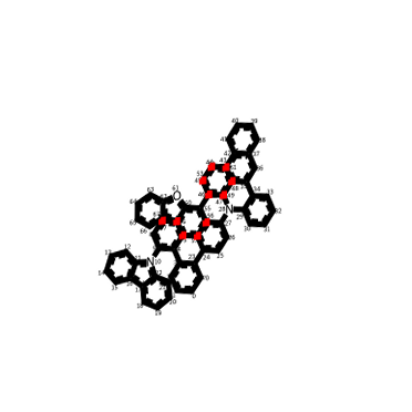 c1ccc(-c2ccccc2-n2c3ccccc3c3ccccc32)c(-c2ccc(N(c3ccccc3-c3cc4ccccc4c4ccccc34)c3ccccc3-c3cccc4c3oc3ccccc34)cc2)c1